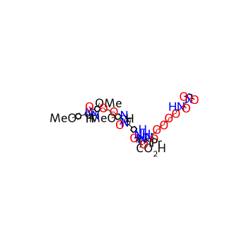 COc1ccc(C2=CN3C(=O)c4cc(OC)c(OCCCOc5cc6c(cc5OC)C(=O)N5C=C(c7ccc(NC(=O)[C@H](CCC(=O)O)NC(=O)[C@@H](NC(=O)CCOCCOCCOCCOCCNC(=O)CCN8C(=O)C=CC8=O)C(C)C)cc7)C[C@H]5C=N6)cc4N=C[C@@H]3C2)cc1